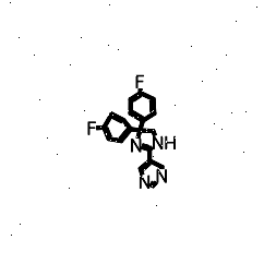 Fc1ccc(C2(c3ccc(F)cc3)CNC(c3cncnc3)=N2)cc1